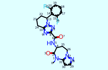 CN1C(=O)[C@@H](NC(=O)c2nc3n(n2)C(c2c(F)cccc2F)CCC3)CCn2nccc21